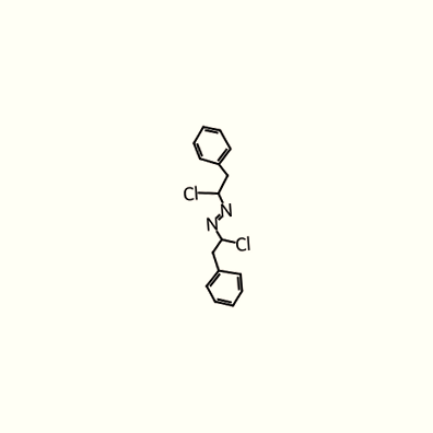 ClC(Cc1ccccc1)N=NC(Cl)Cc1ccccc1